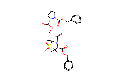 CC1(C)[C@H](C(=O)OCc2ccccc2)N2C(=O)[C@@H](COC(=O)[C@@H]3CCCN3C(=O)OCc3ccccc3)[C@H]2S1(=O)=O